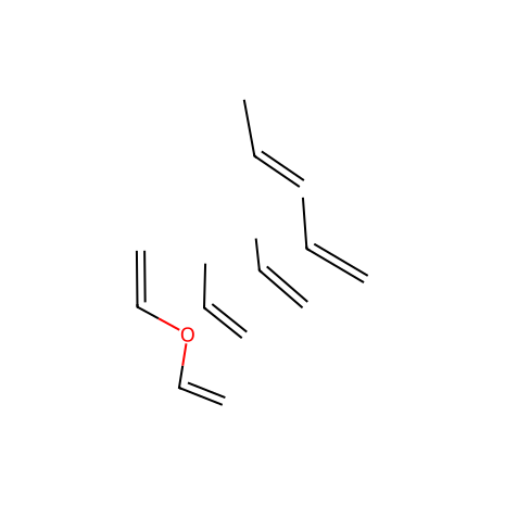 C=CC.C=CC.C=CC.C=CC.C=COC=C